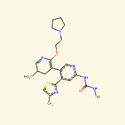 CCCNC(=O)Nc1cc(-c2nc(C(F)(F)F)cs2)c(C2=C(OCCN3CCCC3)N=CC(C(=O)O)C2)cn1